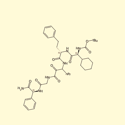 CCCC(NC(=O)[C@H](CCc1ccccc1)NC(=O)[C@@H](NC(=O)OC(C)(C)C)C1CCCCC1)C(=O)C(=O)NCC(=O)N[C@H](C(N)=O)c1ccccc1